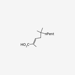 CCC[CH]CC(C)(C)CC=C(C)C(=O)O